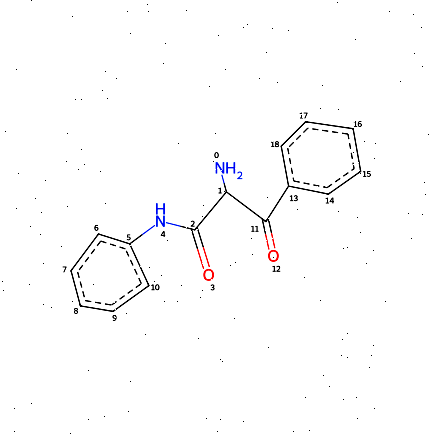 NC(C(=O)Nc1ccccc1)C(=O)c1ccccc1